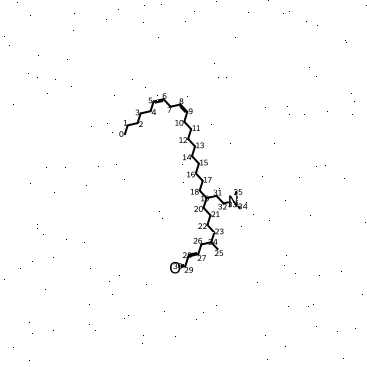 CCCCC/C=C\C/C=C\CCCCCCCCCC(CCCCC(C)C/C=C/C=O)CCN(C)C